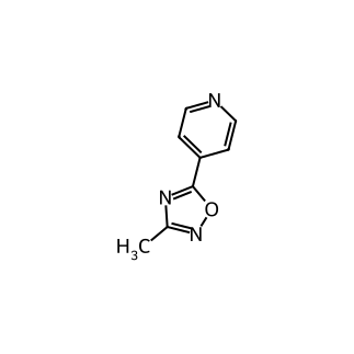 Cc1noc(-c2ccncc2)n1